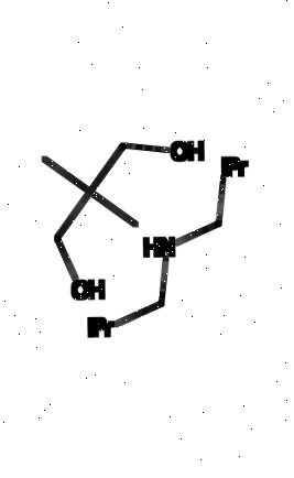 CC(C)(CO)CO.CC(C)CNCC(C)C